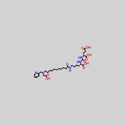 O=C(O)CC[C@H](NC(=O)N[C@H](CCCCNC(=O)CCCCCCCCCCN(CC(=O)O)Cc1ccccn1)C(=O)O)C(=O)O